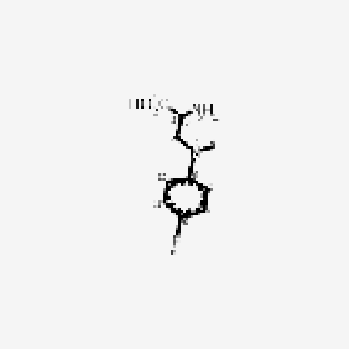 CN(C[C@H](N)C(=O)O)c1ccc(F)cc1